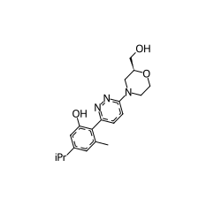 Cc1cc(C(C)C)cc(O)c1-c1ccc(N2CCO[C@H](CO)C2)nn1